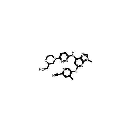 Cc1cc(C#N)ncc1Oc1cc(Nc2ccc(N3CCOC(CO)C3)nn2)c2ncn(C)c2n1